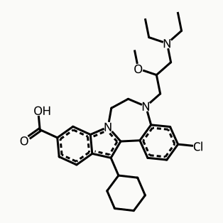 CCN(CC)CC(CN1CCn2c(c(C3CCCCC3)c3ccc(C(=O)O)cc32)-c2ccc(Cl)cc21)OC